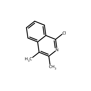 Cc1nc(Cl)c2ccccc2c1C